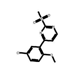 COc1ccc(Cl)cc1-c1ccnc(S(C)(=O)=O)n1